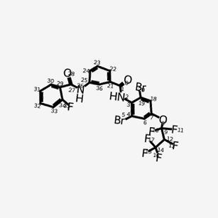 O=C(Nc1c(Br)cc(OC(F)(F)C(F)C(F)(F)F)cc1Br)c1cccc(NC(=O)c2ccccc2F)c1